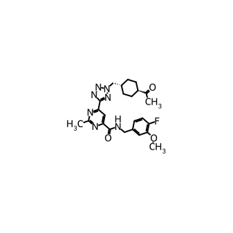 COc1cc(CNC(=O)c2cc(-c3nnn(C[C@H]4CC[C@H](C(C)=O)CC4)n3)nc(C)n2)ccc1F